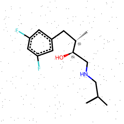 CC(C)CNC[C@@H](O)[C@@H](C)Cc1cc(F)cc(F)c1